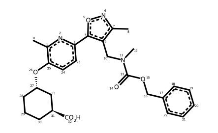 Cc1nc(-c2onc(C)c2CN(C)C(=O)OCc2ccccc2)ccc1O[C@H]1CCC[C@H](C(=O)O)C1